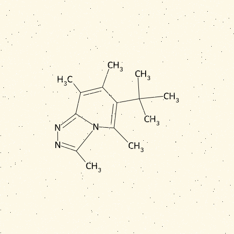 Cc1c(C(C)(C)C)c(C)n2c(C)nnc2c1C